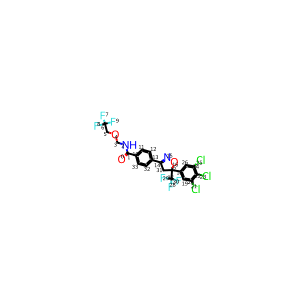 O=C(NCOCC(F)(F)F)c1ccc(C2=NOC(c3cc(Cl)c(Cl)c(Cl)c3)(C(F)(F)F)C2)cc1